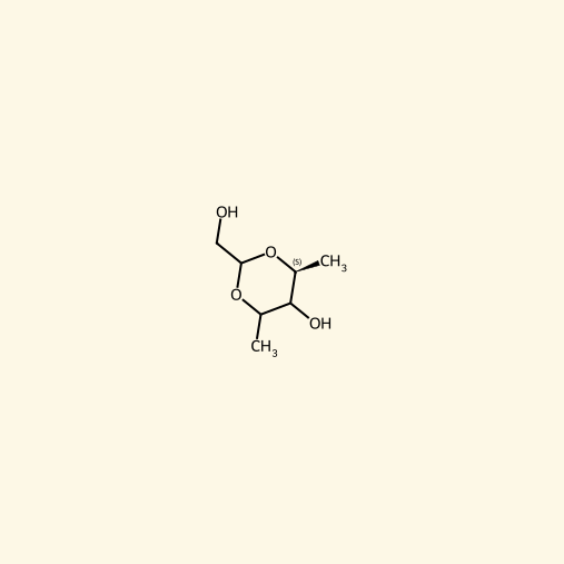 CC1OC(CO)O[C@@H](C)C1O